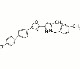 Cc1ccc(Cn2nc(-c3nc(-c4ccc(-c5ccc(Cl)cc5)cc4)co3)cc2C)cc1